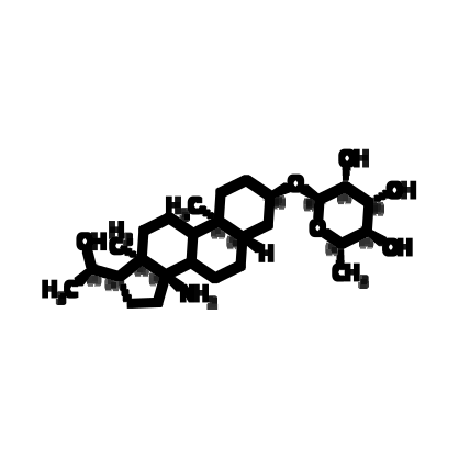 C[C@@H]1O[C@@H](O[C@@H]2CC[C@]3(C)C4CC[C@]5(C)[C@@H]([C@@H](C)O)CC[C@@]5(N)C4CC[C@H]3C2)[C@H](O)[C@H](O)[C@H]1O